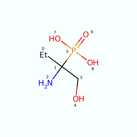 CCC(N)(CO)P(=O)(O)O